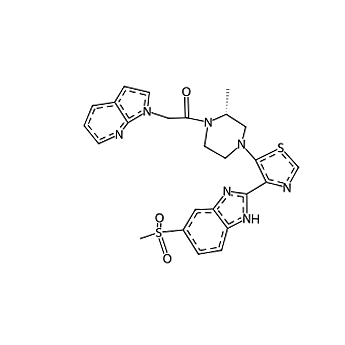 C[C@@H]1CN(c2scnc2-c2nc3cc(S(C)(=O)=O)ccc3[nH]2)CCN1C(=O)Cn1ccc2cccnc21